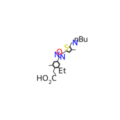 CCCCN(C)Cc1sc(-c2nc(-c3cc(C)c(CCC(=O)O)c(CC)c3)no2)cc1C